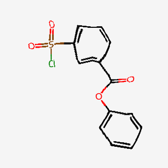 O=C(Oc1ccccc1)c1cccc(S(=O)(=O)Cl)c1